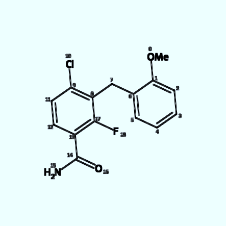 COc1ccccc1Cc1c(Cl)ccc(C(N)=O)c1F